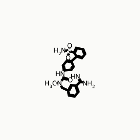 CN(Cc1cccc(C(=N)N)c1)C(=O)Nc1ccc(-c2ccccc2S(N)(=O)=O)cc1